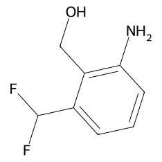 Nc1cccc(C(F)F)c1CO